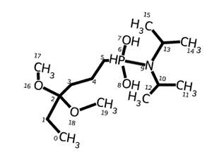 CCC(CCC[PH](O)(O)N(C(C)C)C(C)C)(OC)OC